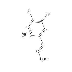 O=C([O-])/C=C/c1ccc(Cl)c(Cl)c1.[Ag+]